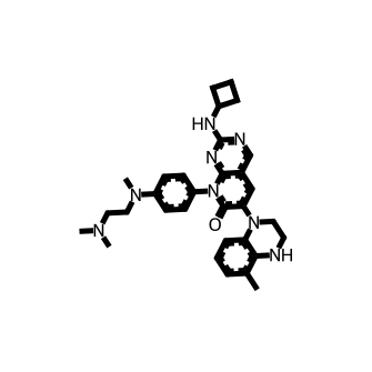 Cc1cccc2c1NCCN2c1cc2cnc(NC3CCC3)nc2n(-c2ccc(N(C)CCN(C)C)cc2)c1=O